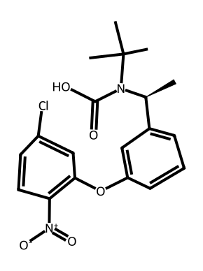 C[C@@H](c1cccc(Oc2cc(Cl)ccc2[N+](=O)[O-])c1)N(C(=O)O)C(C)(C)C